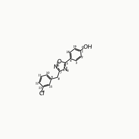 Oc1ccc(-c2nc(Cc3cccc(Cl)c3)no2)cc1